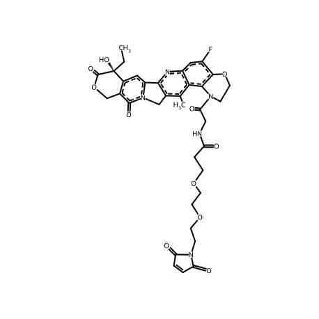 CC[C@@]1(O)C(=O)OCc2c1cc1n(c2=O)Cc2c-1nc1cc(F)c3c(c1c2C)N(C(=O)CNC(=O)CCOCCOCCN1C(=O)C=CC1=O)CCO3